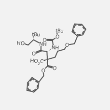 CC(C)(C)OC(=O)N[C@@H](C(=O)N[C@H](CO)C(C)(C)C)[C@@](CCCOCc1ccccc1)(C(=O)O)C(=O)OCc1ccccc1